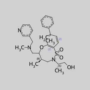 C=C(/C=C\C1=C(/C)OC(CN(C)Cc2cccnc2)[C@H](C)CN([C@@H](C)CO)S1(=O)=O)c1ccccc1